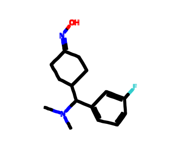 CN(C)C(c1cccc(F)c1)C1CCC(=NO)CC1